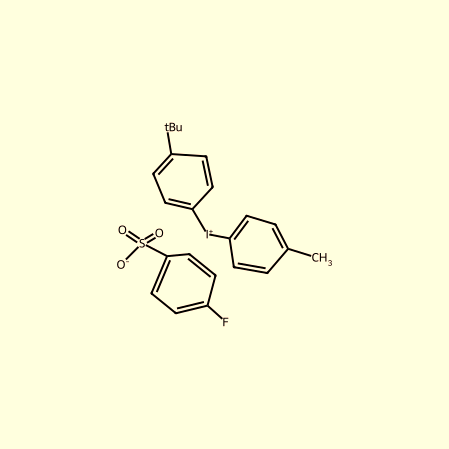 Cc1ccc([I+]c2ccc(C(C)(C)C)cc2)cc1.O=S(=O)([O-])c1ccc(F)cc1